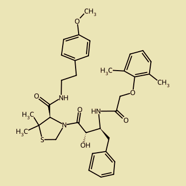 COc1ccc(CCNC(=O)[C@H]2N(C(=O)[C@@H](O)[C@H](Cc3ccccc3)NC(=O)COc3c(C)cccc3C)CSC2(C)C)cc1